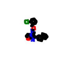 Clc1ccccc1CON=Cc1c(-c2ccc3ccccc3c2)nc2occn12